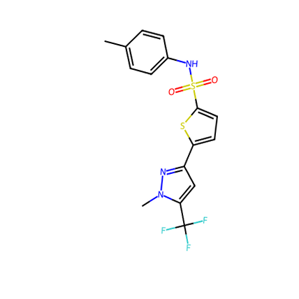 Cc1ccc(NS(=O)(=O)c2ccc(-c3cc(C(F)(F)F)n(C)n3)s2)cc1